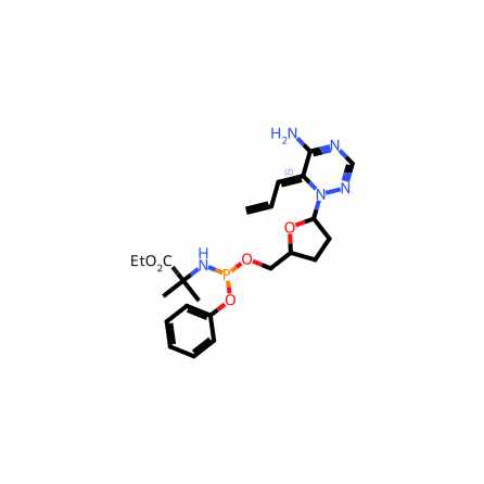 C=C/C=C1/C(N)=NC=NN1C1CCC(COP(NC(C)(C)C(=O)OCC)Oc2ccccc2)O1